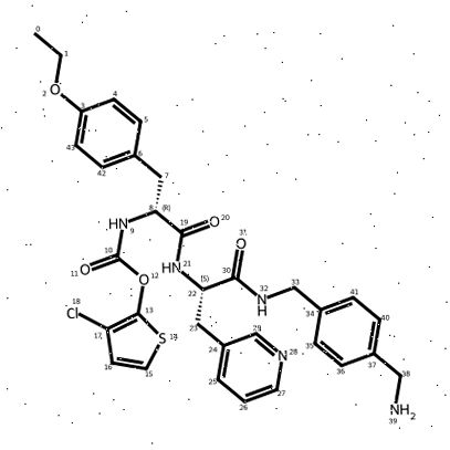 CCOc1ccc(C[C@@H](NC(=O)Oc2sccc2Cl)C(=O)N[C@@H](Cc2cccnc2)C(=O)NCc2ccc(CN)cc2)cc1